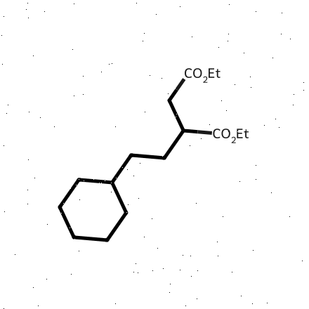 CCOC(=O)CC(CCC1CCCCC1)C(=O)OCC